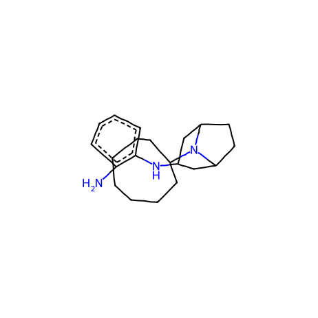 Nc1ccccc1NC1CC2CCC(C1)N2C1CCCCCCC1